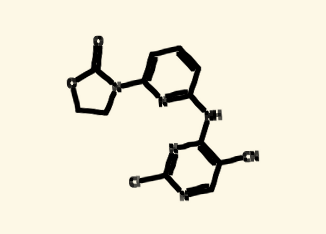 N#Cc1cnc(Cl)nc1Nc1cccc(N2CCOC2=O)n1